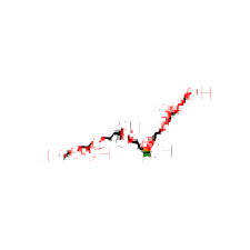 CC(C)(CCCOCC(O)COCCO)OCCCC(C)(F)OCCCOCC(O)COCCO